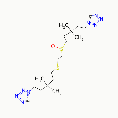 CC(C)(CCSCC[S+]([O-])CCC(C)(C)CCn1cnnn1)CCn1cnnn1